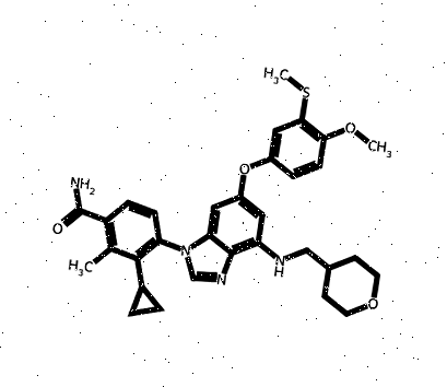 COc1ccc(Oc2cc(NCC3CCOCC3)c3ncn(-c4ccc(C(N)=O)c(C)c4C4CC4)c3c2)cc1SC